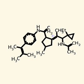 C=C(C)NC(/C(C)=C1\CC(C)CC1C(=C)Nc1ccc(C(C)=C(C)C)cc1)C1(CC)CC1